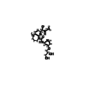 CN1CCCN(C(=O)Nc2cc(OC[C@H](O)CO)ccn2)c2nc(C(=O)NC3CC3)ccc21